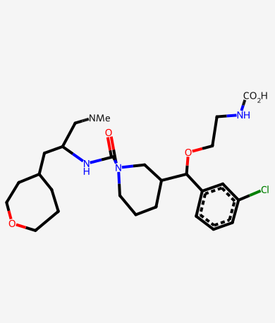 CNCC(CC1CCCOCC1)NC(=O)N1CCCC(C(OCCNC(=O)O)c2cccc(Cl)c2)C1